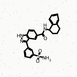 NS(=O)(=O)c1cccc(-c2n[nH]c3ccc(C(=O)NC4CCCc5ccccc54)cc23)c1